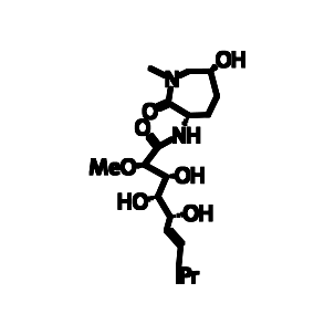 CO[C@@H](C(=O)N[C@H]1CC[C@H](O)CN(C)C1=O)[C@H](O)[C@@H](O)[C@H](O)/C=C/C(C)C